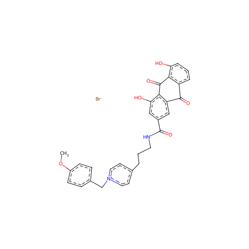 COc1ccc(C[n+]2ccc(CCCNC(=O)c3cc(O)c4c(c3)C(=O)c3cccc(O)c3C4=O)cc2)cc1.[Br-]